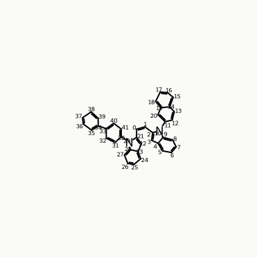 C(=C/c1cc2ccccc2n1-c1ccc2ccccc2c1)/c1cc2ccccc2n1-c1ccc(-c2ccccc2)cc1